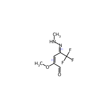 CN/N=C(\C=C(/C=O)OC)C(F)(F)F